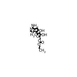 C=CCOC(=O)OC[C@H]1O[C@@](C)(c2ccc3c(N)ncnn23)[C@H](O)[C@@H]1O